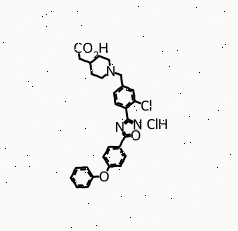 Cl.O=C(O)CC1CCN(Cc2ccc(-c3noc(-c4ccc(Oc5ccccc5)cc4)n3)c(Cl)c2)CC1